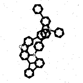 CC12c3ccccc3-c3cccc(c31)N(c1ccc(-c3ccccc3)cc1)c1c2ccc2oc3ccc(-c4ccc5c(c4)c4cc(-c6ccccc6)ccc4n5-c4ccccc4)cc3c12